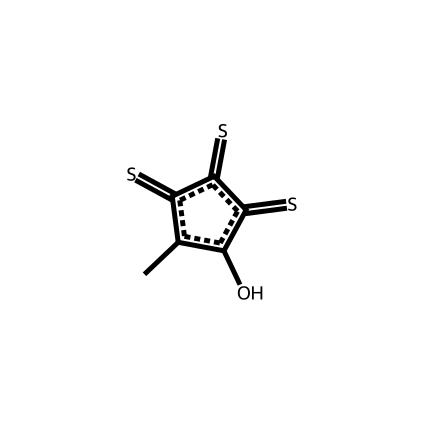 Cc1c(O)c(=S)c(=S)c1=S